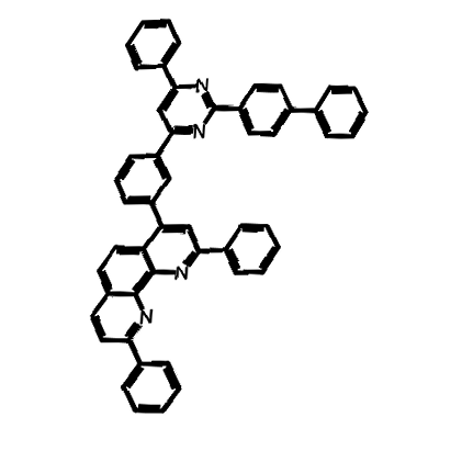 c1ccc(-c2ccc(-c3nc(-c4ccccc4)cc(-c4cccc(-c5cc(-c6ccccc6)nc6c5ccc5ccc(-c7ccccc7)nc56)c4)n3)cc2)cc1